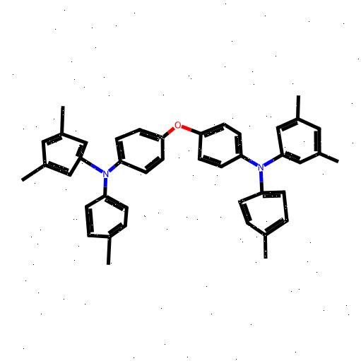 Cc1ccc(N(c2ccc(Oc3ccc(N(c4ccc(C)cc4)c4cc(C)cc(C)c4)cc3)cc2)c2cc(C)cc(C)c2)cc1